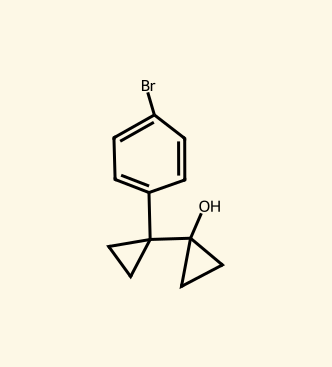 OC1(C2(c3ccc(Br)cc3)CC2)CC1